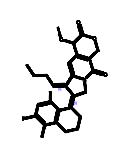 CCC/C=C1/C(=C2/CCCc3c(C)c(F)cc(C)c32)Cn2c1cc1c(c2=O)COC(=O)C1OC